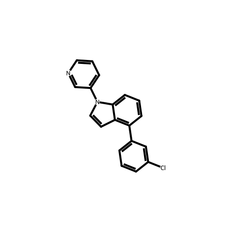 Clc1cccc(-c2cccc3c2ccn3-c2cccnc2)c1